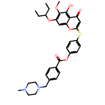 CCC(CC)Oc1cc2oc(Sc3ccc(OC(=O)c4ccc(CN5CCN(C)CC5)cc4)cc3)cc(=O)c2c(O)c1OC